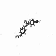 CC(C)CC1CCN(CCC(=O)N2CCC(C(C)C)CC2)CC1